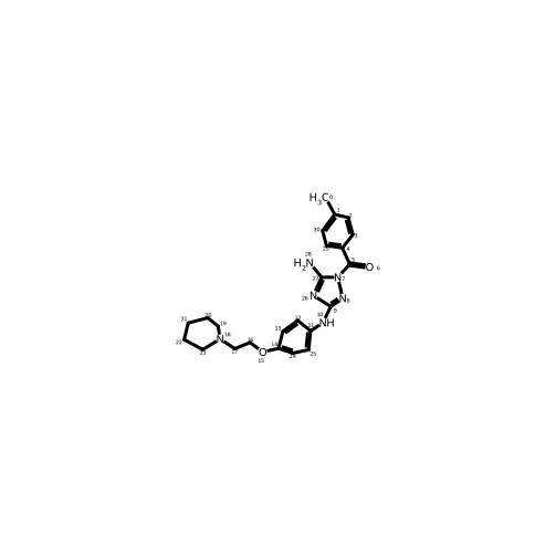 Cc1ccc(C(=O)n2nc(Nc3ccc(OCCN4CCCCC4)cc3)nc2N)cc1